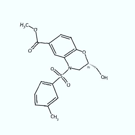 COC(=O)c1ccc2c(c1)N(S(=O)(=O)c1cccc(C)c1)C[C@@H](CO)O2